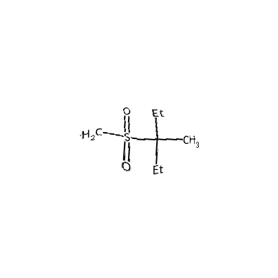 [CH2]S(=O)(=O)C(C)(CC)CC